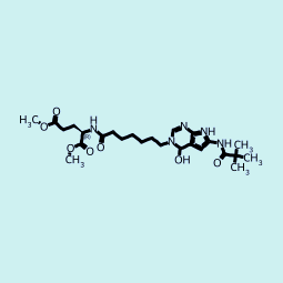 COC(=O)CC[C@@H](NC(=O)CCCCCCN1C=Nc2[nH]c(NC(=O)C(C)(C)C)cc2C1O)C(=O)OC